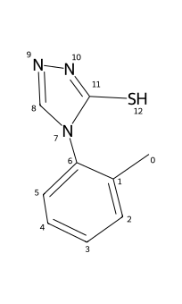 Cc1ccccc1-n1cnnc1S